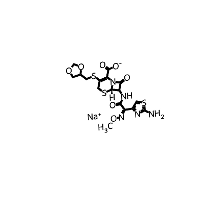 CO/N=C(\C(=O)NC1C(=O)N2C(C(=O)[O-])=C(SCC3COCO3)CS[C@@H]12)c1csc(N)n1.[Na+]